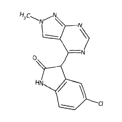 Cn1cc2c(C3C(=O)Nc4ccc(Cl)cc43)ncnc2n1